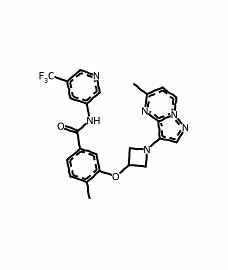 Cc1ccn2ncc(N3CC(Oc4cc(C(=O)Nc5cncc(C(F)(F)F)c5)ccc4C)C3)c2n1